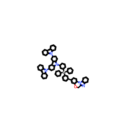 c1ccc([Si](c2ccccc2)(c2cccc(-c3ccc4c(c3)OCc3nc5ccccc5n3-4)c2)c2cccc(-n3c4ccc(-n5c6ccccc6c6ccccc65)cc4c4cc(-n5c6ccccc6c6ccccc65)ccc43)c2)cc1